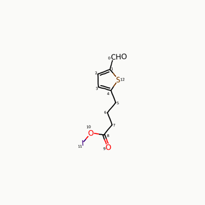 O=Cc1ccc(CCCC(=O)OI)s1